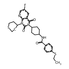 CCSc1ccc(C(=O)NC2CCC(n3c(=O)c4cc(F)cnc4n(C4CCSCC4)c3=O)CC2)cc1